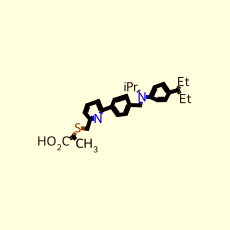 CCC(CC)c1ccc(N(Cc2ccc(-c3cccc(CSC(C)C(=O)O)n3)cc2)C(C)C)cc1